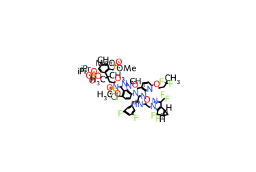 COP(=O)(Cc1cc(C)cc(OP(=O)(OC(C)C)OC(C)C)c1C(C)(C)CC(=O)N(c1nn(C)c2c(-n3c([C@H](Cc4cc(F)cc(F)c4)NC(=O)Cn4nc(C(F)F)c5c4C(F)(F)[C@@H]4C[C@H]54)nc4nc(OCCC(C)(F)F)ccc4c3=O)ccc(Cl)c12)S(C)(=O)=O)OC